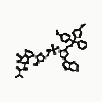 COc1ccc(C(OC[C@H]2C[C@@H](n3cnc4cncnc43)C[C@@H]2OS(=O)(=O)NC[C@@H]2C[C@@H](O)[C@H](n3cnc4c(=O)[nH]c(NC(=O)C(C)C)nc43)O2)(c2ccccc2)c2ccc(OC)cc2)cc1